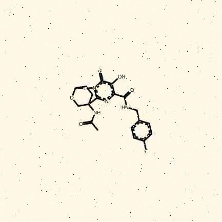 CC(=O)NC12CCC(Cn3c1nc(C(=O)NCc1ccc(F)cc1)c(O)c3=O)OC2